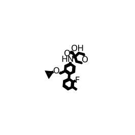 Cc1cccc(-c2ccc(NC3(C(=O)O)CCOCC3)cc2COC2CC2)c1F